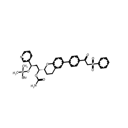 CC(C)(C)[Si](C)(C)O[C@H](CC(OC(N)=O)[C@H]1CCc2cc(-c3ccc(C(=O)CS(=O)(=O)c4ccccc4)cc3)ccc2O1)c1cccnc1